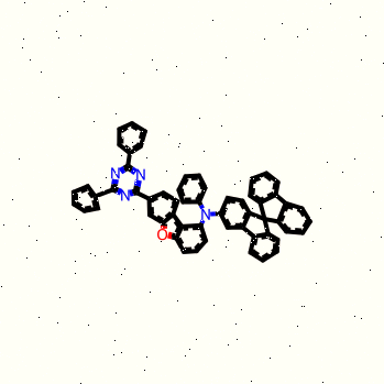 c1ccc(-c2nc(-c3ccccc3)nc(-c3ccc4c(c3)oc3cccc(N(c5ccccc5)c5ccc6c(c5)-c5ccccc5C65c6ccccc6-c6ccccc65)c34)n2)cc1